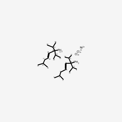 CC(C)CC=CC(P)(C(C)C)C(C)C.CC(C)CC=CC(P)(C(C)C)C(C)C.[Cl-].[Cl-].[Ni+2]